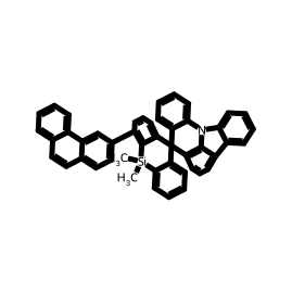 C[Si]1(C)c2ccccc2C2(c3ccccc3-n3c4ccccc4c4cccc2c43)c2cccc(-c3ccc4ccc5ccccc5c4c3)c21